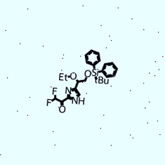 CCOC(CO[Si](c1ccccc1)(c1ccccc1)C(C)(C)C)c1c[nH]c(C(=O)C(F)F)n1